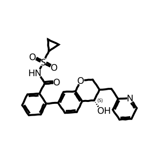 O=C(NS(=O)(=O)C1CC1)c1ccccc1-c1ccc2c(c1)OCC(Cc1ccccn1)[C@@H]2O